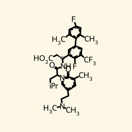 Cc1cc(F)cc(C)c1-c1cc([C@H](CC(=O)O)NC(=O)C(CC(C)C)n2cc(CCN(C)C)cc(C)c2=O)c(F)c(C(F)(F)F)c1